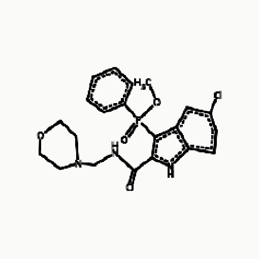 COP(=O)(c1ccccc1)c1c(C(=O)NCN2CCOCC2)[nH]c2ccc(Cl)cc12